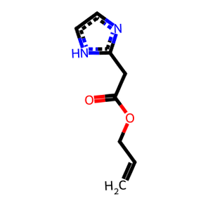 C=CCOC(=O)Cc1ncc[nH]1